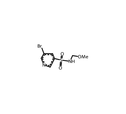 COCNS(=O)(=O)c1cncc(Br)c1